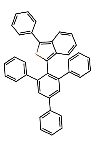 c1ccc(-c2cc(-c3ccccc3)c(-c3sc(-c4ccccc4)c4ccccc34)c(-c3ccccc3)c2)cc1